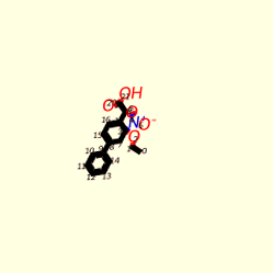 CCOC1([N+](=O)[O-])CC(c2ccccc2)=CC=C1CC(=O)O